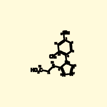 CC(C)(C)c1ccc(-n2nnnc2SCC(=O)O)c(Cl)c1